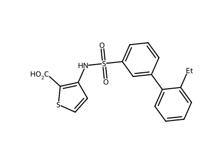 CCc1ccccc1-c1cccc(S(=O)(=O)Nc2ccsc2C(=O)O)c1